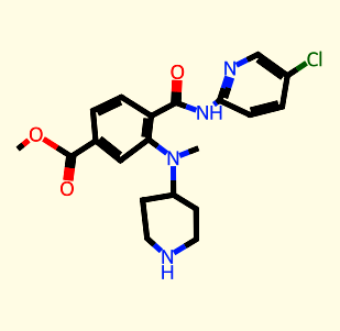 COC(=O)c1ccc(C(=O)Nc2ccc(Cl)cn2)c(N(C)C2CCNCC2)c1